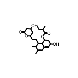 CCC(C)C(=O)OC1CC(O)C=C2C=C(C)C(C)C(CCC3CC(O)CC(=O)O3)C21